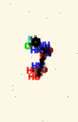 N=C(Nc1ccc(F)c(Cl)c1)c1nonc1OCCCNC(=O)C(O)CO